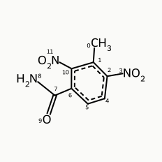 Cc1c([N+](=O)[O-])ccc(C(N)=O)c1[N+](=O)[O-]